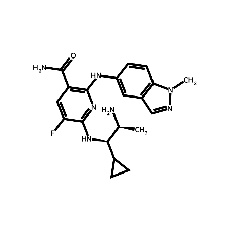 C[C@H](N)[C@H](Nc1nc(Nc2ccc3c(cnn3C)c2)c(C(N)=O)cc1F)C1CC1